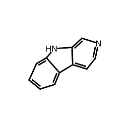 [c]1ccc2[nH]c3cnccc3c2c1